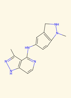 Cc1n[nH]c2ccnc(Nc3ccc4c(c3)CNN4C)c12